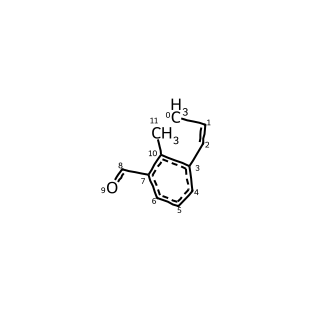 C/C=C\c1cccc(C=O)c1C